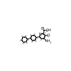 Nc1cc(-c2ccc(-c3ccccc3)cc2)nc(C(=O)O)c1Cl